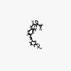 CCOc1cccc(C#Cc2ccc(CC(C)NC(=O)C3CC3)cc2)c1